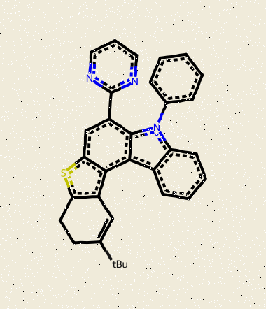 CC(C)(C)C1=Cc2c(sc3cc(-c4ncccn4)c4c(c5ccccc5n4-c4ccccc4)c23)CC1